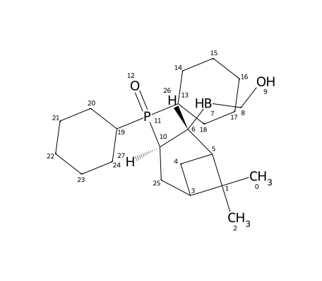 CC1(C)C2CC1[C@@H](BCO)[C@H](P(=O)(C1CCCCC1)C1CCCCC1)C2